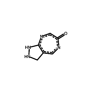 O=c1cnc2c(cn1)CNN2